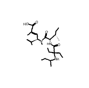 CCC(C)NC(CC)(CC)C(=O)N[C@H](C(=O)N(C)[C@H](/C=C(\C)C(=O)O)C(C)C)[C@@H](C)CC